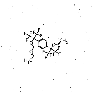 C=COC(c1ccc(C(OCOCC)(C(F)(F)F)C(F)(F)F)cc1)(C(F)(F)F)C(F)(F)F